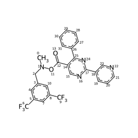 CN(Cc1cc(C(F)(F)F)cc(C(F)(F)F)c1)OC(=O)c1cnc(-c2cccnc2)nc1-c1ccccc1